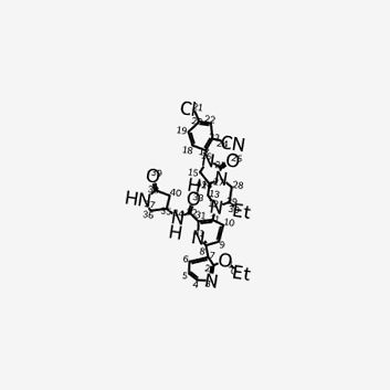 CCOc1ncccc1-c1ccc(N2C[C@H]3CN(c4ccc(Cl)cc4C#N)C(=O)N3C[C@H]2CC)c(C(=O)N[C@H]2CNC(=O)C2)n1